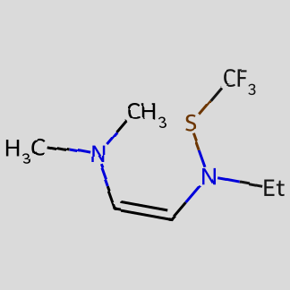 CCN(/C=C\N(C)C)SC(F)(F)F